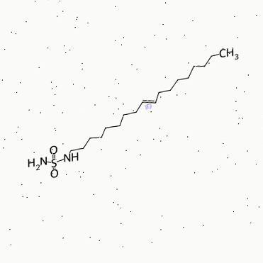 CCCCCCCC/C=C/CCCCCCCCNS(N)(=O)=O